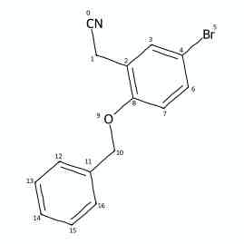 N#CCc1cc(Br)ccc1OCc1ccccc1